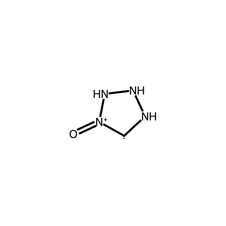 O=[N+]1[CH]NNN1